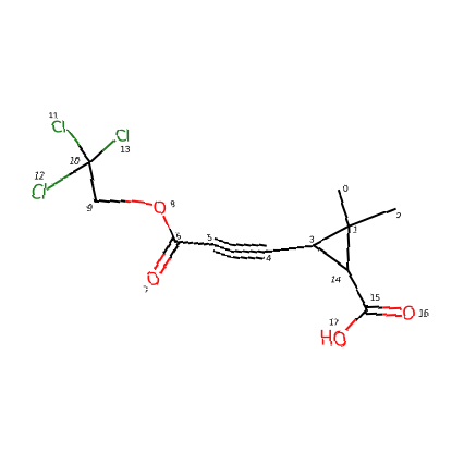 CC1(C)C(C#CC(=O)OCC(Cl)(Cl)Cl)C1C(=O)O